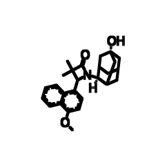 COc1ccc(C2N([C@H]3C4CC5CC3C[C@](O)(C5)C4)C(=O)C2(C)C)c2ccccc12